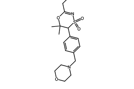 CC1(C)OC(CI)=NS(=O)(=O)C1c1ccc(CN2CCOCC2)cc1